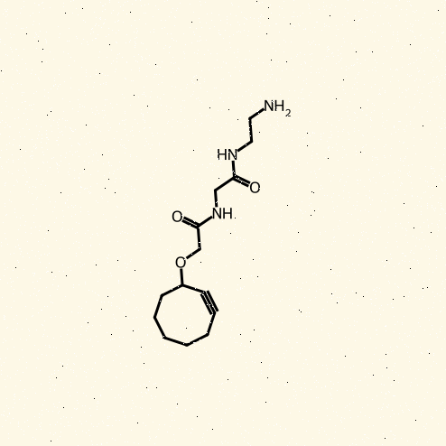 NCCNC(=O)CNC(=O)COC1C#CCCCCC1